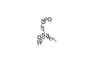 Cn1cnc(C(=O)N(Cc2cccc(OC(F)(F)F)c2)CC2C3CN(Cc4ccc(Oc5ccccc5)nc4)CC32)c1